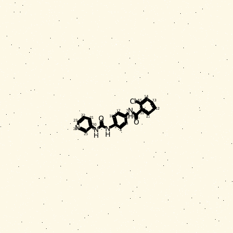 O=C(Nc1ccc(NC(=O)c2ccccc2Cl)cc1)Nc1cccnc1